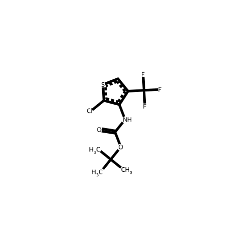 CC(C)(C)OC(=O)Nc1c(C(F)(F)F)csc1Cl